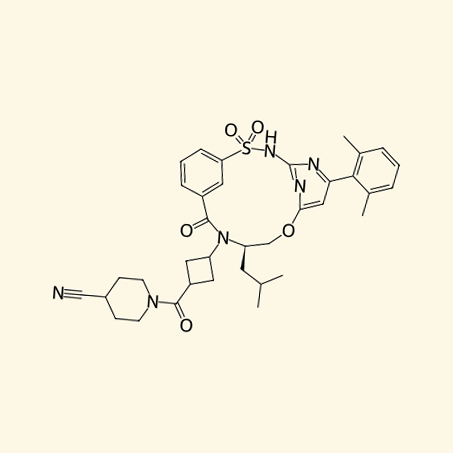 Cc1cccc(C)c1-c1cc2nc(n1)NS(=O)(=O)c1cccc(c1)C(=O)N(C1CC(C(=O)N3CCC(C#N)CC3)C1)[C@H](CC(C)C)CO2